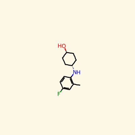 Cc1cc(F)ccc1N[C@H]1CC[C@H](O)CC1